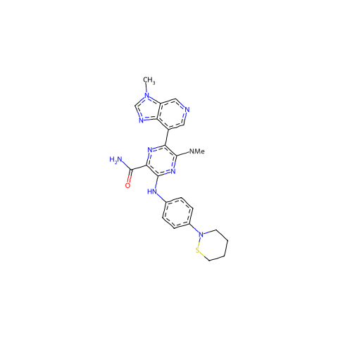 CNc1nc(Nc2ccc(N3CCCCS3)cc2)c(C(N)=O)nc1-c1cncc2c1ncn2C